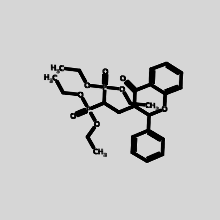 CCOP(=O)(OCC)C(CC1C(=O)c2ccccc2OC1c1ccccc1)P(=O)(OCC)OCC